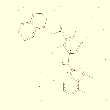 Cc1nc(C(C)c2cc(Cl)c(F)c(C(=O)Nc3cccc4ccccc34)c2OC(C)C)n2ccnc(N)c12